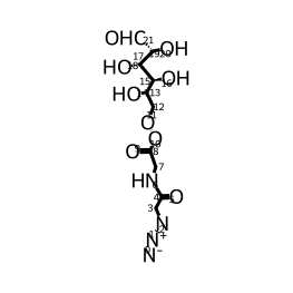 [N-]=[N+]=NCC(=O)NCC(=O)OOC[C@@H](O)[C@H](O)[C@H](O)[C@@H](O)C=O